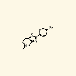 CN1CCc2sc(-c3ccc(Br)cc3)nc2C1